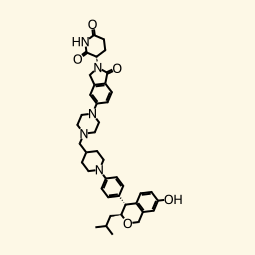 CC(C)C[C@@H]1OCc2cc(O)ccc2[C@H]1c1ccc(N2CCC(CN3CCN(c4ccc5c(c4)CN([C@H]4CCC(=O)NC4=O)C5=O)CC3)CC2)cc1